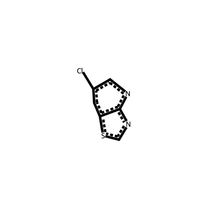 Clc1cnc2ncsc2c1